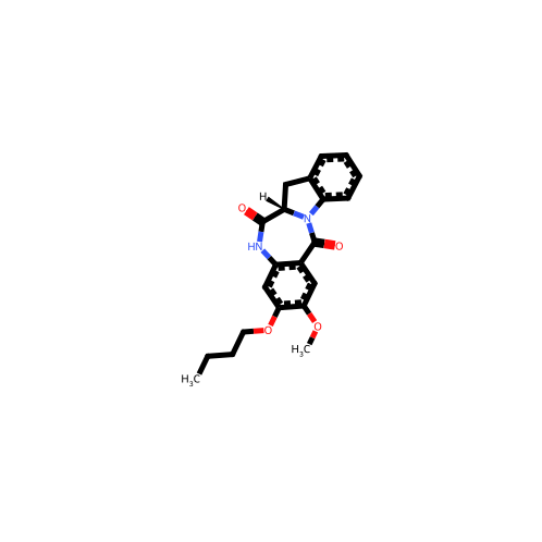 CCCCOc1cc2c(cc1OC)C(=O)N1c3ccccc3C[C@H]1C(=O)N2